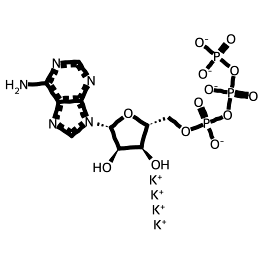 Nc1ncnc2c1ncn2[C@@H]1O[C@H](COP(=O)([O-])OP(=O)([O-])OP(=O)([O-])[O-])[C@@H](O)[C@H]1O.[K+].[K+].[K+].[K+]